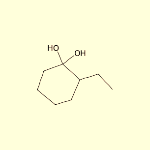 CCC1CCCCC1(O)O